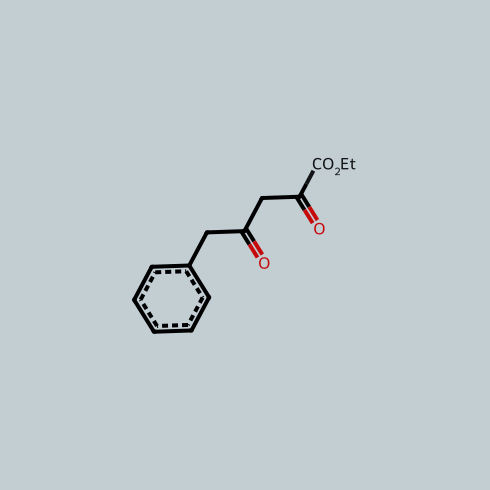 CCOC(=O)C(=O)CC(=O)Cc1ccccc1